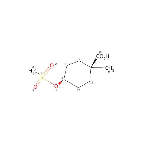 CS(=O)(=O)O[C@H]1CC[C@@](C)(C(=O)O)CC1